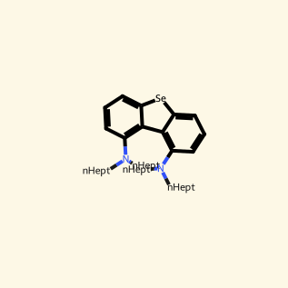 CCCCCCCN(CCCCCCC)c1cccc2[se]c3cccc(N(CCCCCCC)CCCCCCC)c3c12